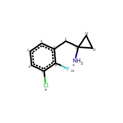 NC1(Cc2cccc(Cl)c2F)CC1